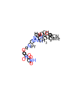 COc1cc(OC2C(C)(C)C(NC(=O)c3c(C)nc(N4CCC(CN(C(C)C)C5CC(Oc6ccc7c(c6)C(=O)N([C@@H]6CCC(=O)NC6=O)C7=O)C5)CC4)nc3C)C2(C)C)ccc1C#N